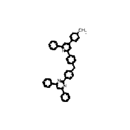 CC1C=CC(c2cc(-c3ccccc3)nc(-c3ccc(Cc4ccc(-c5nc(-c6ccccc6)cc(-c6ccccc6)n5)cc4)cc3)c2)=CC1